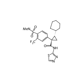 CNS(=O)(=O)c1ccc([C@@]2(C(=O)Nc3nncs3)C[C@H]2C2CCCCC2)cc1C(F)(F)F